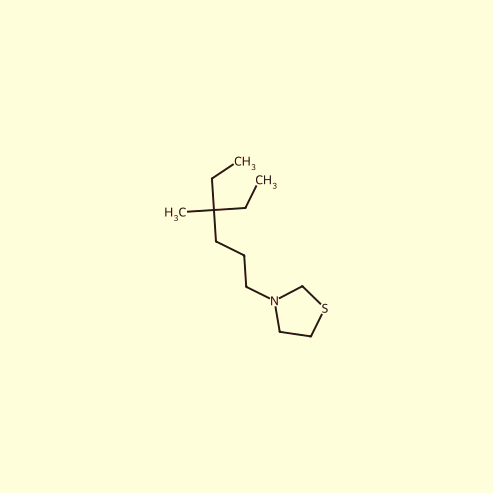 CCC(C)(CC)CCCN1CCSC1